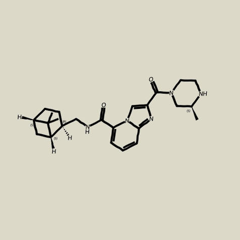 C[C@H]1CN(C(=O)c2cn3c(C(=O)NC[C@@H]4CC[C@H]5C[C@@H]4C5(C)C)cccc3n2)CCN1